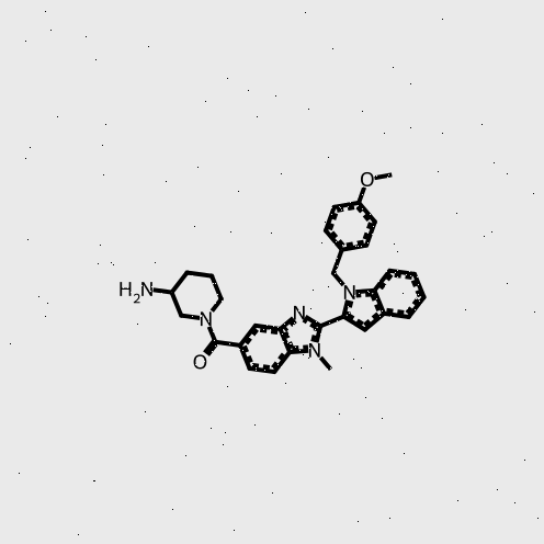 COc1ccc(Cn2c(-c3nc4cc(C(=O)N5CCCC(N)C5)ccc4n3C)cc3ccccc32)cc1